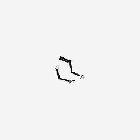 C=C[CH2][Al].CC(C)[CH2][Al]